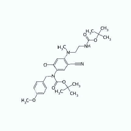 COc1ccc(CN(C(=O)OC(C)(C)C)c2cc(C#N)c(N(C)CCNC(=O)OC(C)(C)C)cc2Cl)cc1